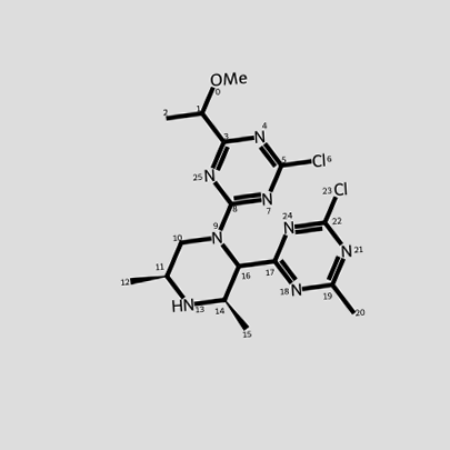 COC(C)c1nc(Cl)nc(N2C[C@H](C)N[C@H](C)C2c2nc(C)nc(Cl)n2)n1